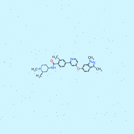 Cc1cc(-c2cc(Oc3ccc4c(C)nn(C)c4c3)ccn2)ccc1C(=O)N[C@@H]1CCN(C)[C@H](C)C1